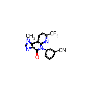 Cn1cnc2c(=O)n(-c3cccc(C#N)c3)c3nc(C(F)(F)F)ccc3c21